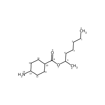 CCCCCC(C)OC(=O)C1CCC(N)CC1